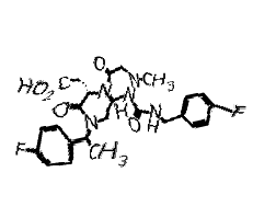 CC(c1ccc(F)cc1)N1C[C@H]2N(C(=O)CN(C)N2C(=O)NCc2ccc(F)cc2)[C@@H](CC(=O)O)C1=O